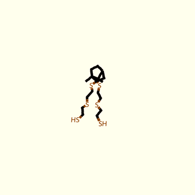 CC1(C)C2CCC1(C)C(SCCSCCS)(SCCSCCS)C2